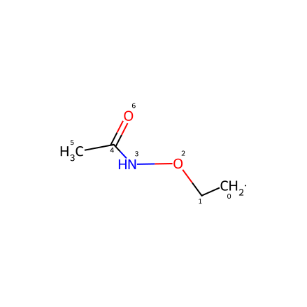 [CH2]CONC(C)=O